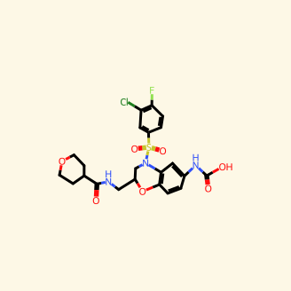 O=C(O)Nc1ccc2c(c1)N(S(=O)(=O)c1ccc(F)c(Cl)c1)CC(CNC(=O)C1CCOCC1)O2